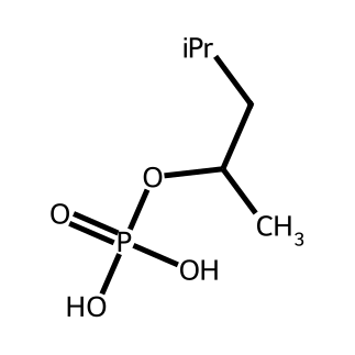 CC(C)CC(C)OP(=O)(O)O